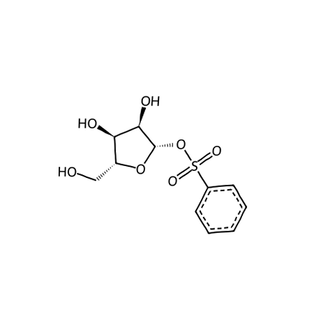 O=S(=O)(O[C@@H]1O[C@H](CO)[C@@H](O)[C@H]1O)c1ccccc1